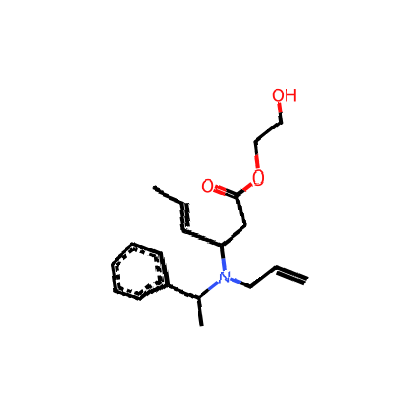 C=CCN(C(C=CC)CC(=O)OCCO)C(C)c1ccccc1